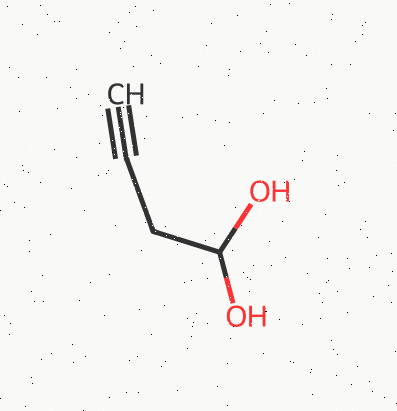 C#CCC(O)O